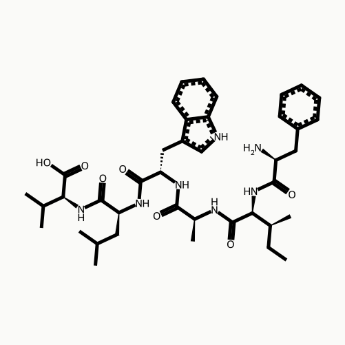 CC[C@H](C)[C@H](NC(=O)[C@@H](N)Cc1ccccc1)C(=O)N[C@@H](C)C(=O)N[C@@H](Cc1c[nH]c2ccccc12)C(=O)N[C@@H](CC(C)C)C(=O)N[C@H](C(=O)O)C(C)C